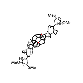 COC(=O)N[C@@H](CCSC)C(=O)N1CC[C@H]1c1nc2cc(-c3cc4ccc3CCc3ccc(c(-c5ccc6[nH]c([C@@H]7CCN7C(=O)[C@H](CCSC)NC(=O)OC)nc6c5)c3)C[C@H]4C)ccc2[nH]1